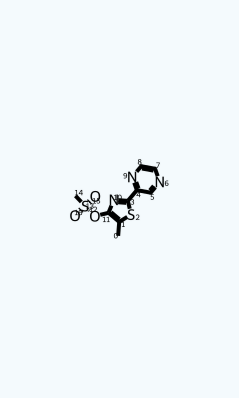 Cc1sc(-c2cnccn2)nc1OS(C)(=O)=O